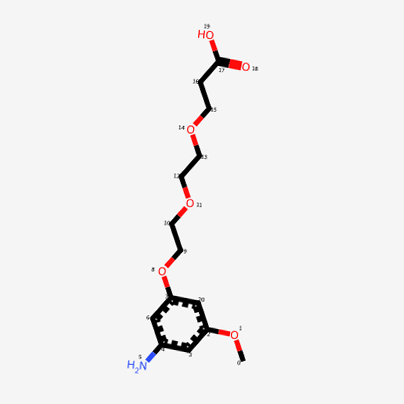 COc1cc(N)cc(OCCOCCOCCC(=O)O)c1